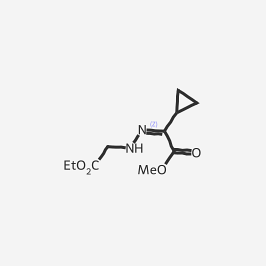 CCOC(=O)CN/N=C(\C(=O)OC)C1CC1